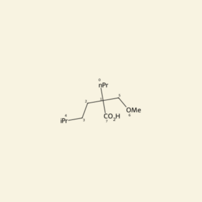 CCCC(CCC(C)C)(COC)C(=O)O